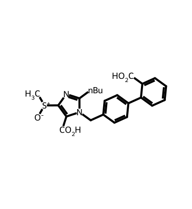 CCCCc1nc([S+](C)[O-])c(C(=O)O)n1Cc1ccc(-c2ccccc2C(=O)O)cc1